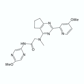 COc1ccnc(-c2nc3c(c(N(C)CC(=O)Nc4cnc(OC)cn4)n2)CCC3)c1